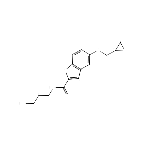 O=C(NCCCO)c1cc2cc(OCC3CO3)ccc2[nH]1